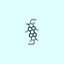 CNCN1C(=O)c2ccc3c4c(Cl)cc5c6c(cc(Cl)c(c7ccc(c2c37)C1=O)c64)C(=O)N(CNC)C5=O